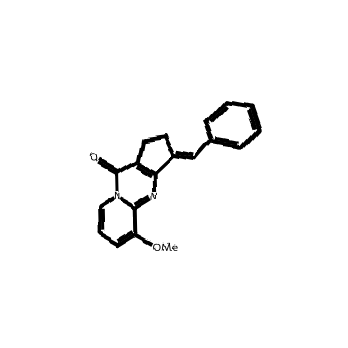 COc1cccn2c(=O)c3c(nc12)C(=Cc1ccccc1)CC3